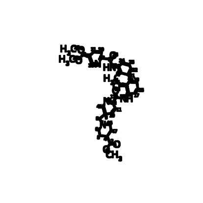 COC(=O)C1CCN(Cc2ccc(C(=O)Nc3cccc(-c4cccc(NC(=O)c5ccc(C(OC)OC)cn5)c4C)c3Cl)nc2)CC1